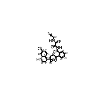 C[C@@H](CC1(C2=C3C=CC(Cl)=CC3NC=C2)CC1)C(=O)c1ccccc1CNC(=O)C(=O)NCC#N